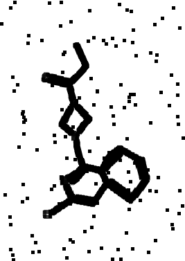 CCC(=O)N1CN(c2nc(Cl)cc3ccccc23)C1